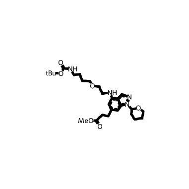 COC(=O)CCc1cc(NCCOCCCCNC(=O)OC(C)(C)C)c2cnn(C3CCCCO3)c2c1